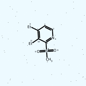 CCc1ccnc(S(C)(=O)=O)c1CC